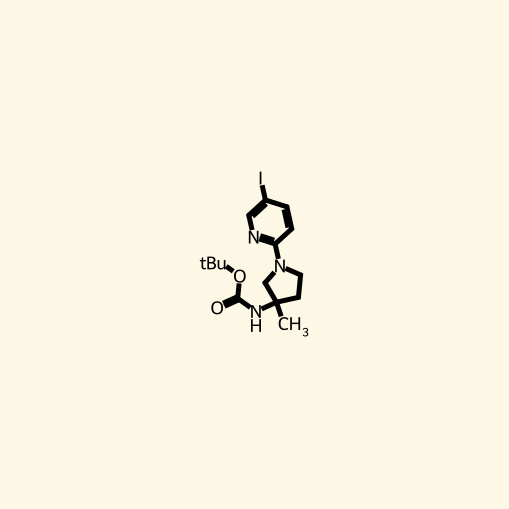 CC1(NC(=O)OC(C)(C)C)CCN(c2ccc(I)cn2)C1